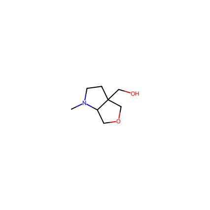 CN1CCC2(CO)COCC12